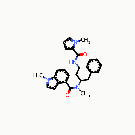 CN(C(=O)c1cccc2c1ccn2C)C(CCNC(=O)c1cccn1C)Cc1ccccc1